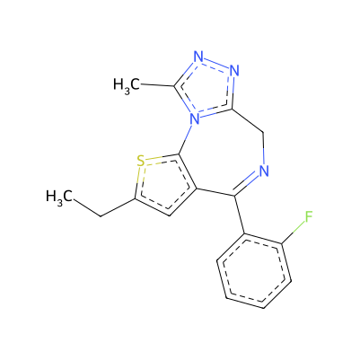 CCc1cc2c(s1)-n1c(C)nnc1CN=C2c1ccccc1F